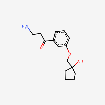 NCCC(=O)c1cccc(OCC2(O)CCCC2)c1